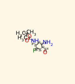 CC(C)(C)OC(=O)NCc1cc(N)c(C=O)cc1F